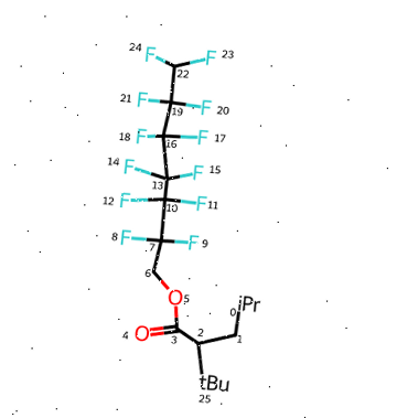 CC(C)CC(C(=O)OCC(F)(F)C(F)(F)C(F)(F)C(F)(F)C(F)(F)C(F)F)C(C)(C)C